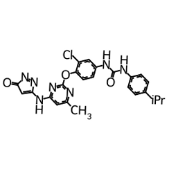 Cc1cc(NC2=CC(=O)N=N2)nc(Oc2ccc(NC(=O)Nc3ccc(C(C)C)cc3)cc2Cl)n1